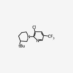 CC(C)(C)C1CCCN(c2ncc(C(F)(F)F)cc2Cl)C1